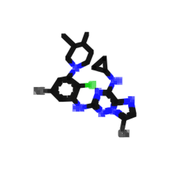 CC1CCN(c2cc(C#N)cc(Nc3nc(NC4CC4)c4ncc(C#N)n4n3)c2Cl)CC1C